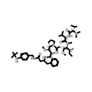 CC[C@H](C)[C@@H]([C@@H](CC(=O)N1CCC[C@H]1[C@H](OC)[C@@H](C)C(=O)NC(CC(=O)NCc1ccc(NC(C)(C)C)cc1)Cc1ccccc1)OC)N(C)C(=O)[C@@H](NC(=O)[C@H](C(C)C)N(C)C)C(C)C